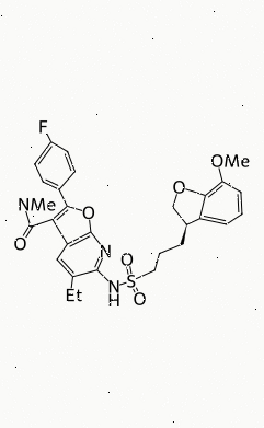 CCc1cc2c(C(=O)NC)c(-c3ccc(F)cc3)oc2nc1NS(=O)(=O)CCC[C@H]1COc2c(OC)cccc21